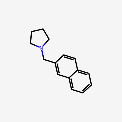 c1ccc2cc(CN3CCCC3)ccc2c1